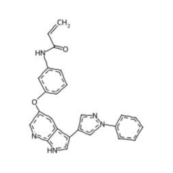 C=CC(=O)Nc1cccc(Oc2cnc3[nH]cc(-c4cnn(-c5ccccc5)c4)c3c2)c1